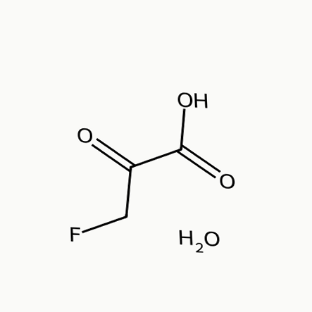 O.O=C(O)C(=O)CF